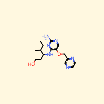 CCC(C)C(CCO)Nc1nc(N)ncc1OCc1cnccn1